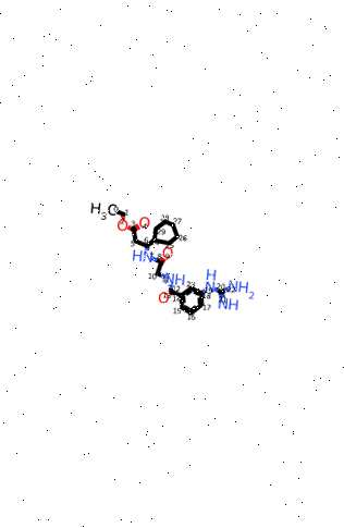 CCOC(=O)CC(NC(=O)CNC(=O)c1cccc(NC(=N)N)c1)C1CCCCC1